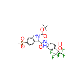 CC(C)(C)OC(=O)N1Cc2cc(S(C)(=O)=O)ccc2C1C(=O)Nc1ccc(C(O)(C(F)(F)F)C(F)(F)F)cc1